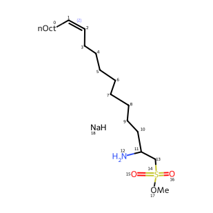 CCCCCCCC/C=C\CCCCCCCCC(N)CS(=O)(=O)OC.[NaH]